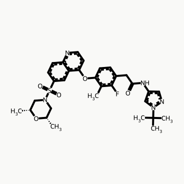 Cc1c(Oc2ccnc3ccc(S(=O)(=O)N4C[C@@H](C)O[C@@H](C)C4)cc23)ccc(CC(=O)Nc2cnn(C(C)(C)C)c2)c1F